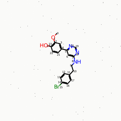 COc1cc(-c2cc(NCCc3ccc(Br)cc3)ncn2)ccc1O